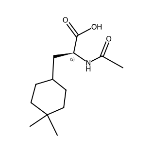 CC(=O)N[C@@H](CC1CCC(C)(C)CC1)C(=O)O